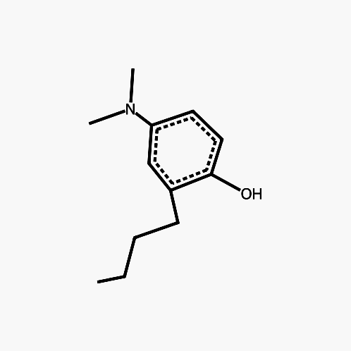 CCCCc1cc(N(C)C)ccc1O